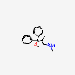 CNCC(C)C(OC)(c1ccccc1)c1ccccc1